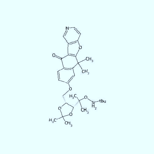 CC1(C)O[C@@H](C(C)(C)O[SiH2]C(C)(C)C)[C@@H](COc2ccc3c(c2)C(C)(C)c2oc4ccncc4c2C3=O)O1